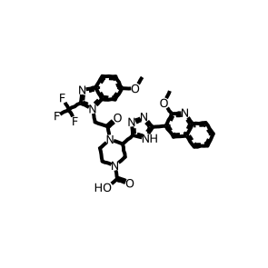 COc1ccc2nc(C(F)(F)F)n(CC(=O)N3CCN(C(=O)O)CC3c3nnc(-c4cc5ccccc5nc4OC)[nH]3)c2c1